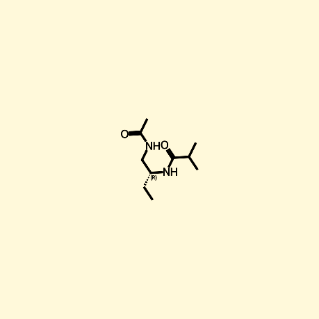 CC[C@H](CNC(C)=O)NC(=O)C(C)C